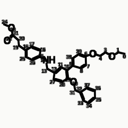 CCOCCOc1ccc(-c2cc(CNc3ccc(CCC(=O)OC)cc3)ccc2OCc2ccccc2)cc1